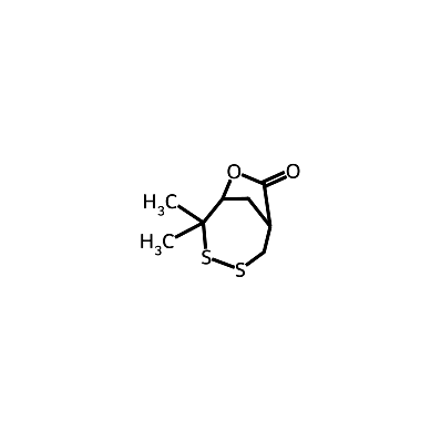 CC1(C)SSCC2CC1OC2=O